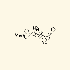 COC(=O)C1CCCCC1Oc1ccc(Oc2c(F)cnc(Oc3cc(C#N)ccc3OCc3ccccc3)c2F)c(C2N=CCN2C)c1